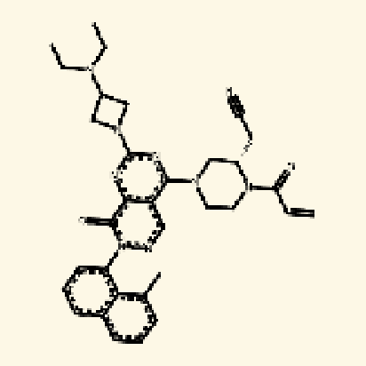 C=CC(=O)N1CCN(c2nc(N3CC(N(CC)CC)C3)nc3c(=O)n(-c4cccc5cccc(C)c45)ncc23)C[C@@H]1CC#N